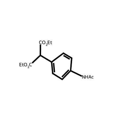 CCOC(=O)C(C(=O)OCC)c1ccc(NC(C)=O)cc1